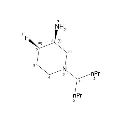 CCCC(CCC)N1CC[C@@H](F)[C@@H](N)C1